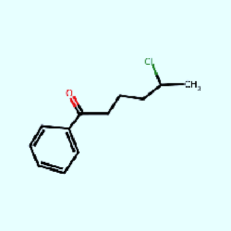 CC(Cl)CCCC(=O)c1ccccc1